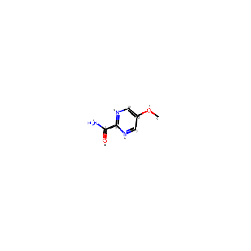 COc1cnc(C(N)=O)nc1